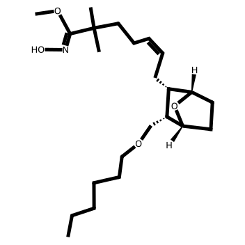 CCCCCCOC[C@@H]1[C@H](C/C=C\CCC(C)(C)C(=NO)OC)[C@@H]2CC[C@H]1O2